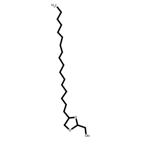 CCCCCCCCCCCCCCCCCC1COC(CO)O1